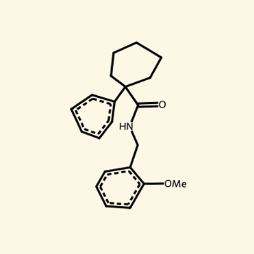 COc1ccccc1CNC(=O)C1(c2ccccc2)CCCCC1